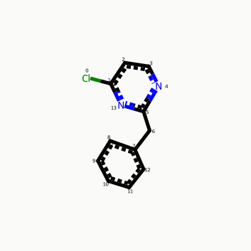 Clc1ccnc(Cc2ccccc2)n1